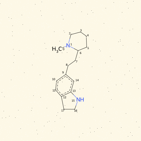 CN1CCCCC1CCc1ccc2c(c1)NCC2